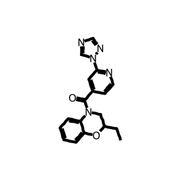 CCC1CN(C(=O)c2ccnc(-n3cncn3)c2)c2ccccc2O1